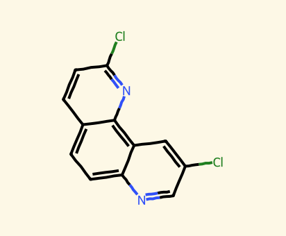 Clc1cnc2ccc3ccc(Cl)nc3c2c1